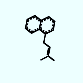 CC(C)=CCc1cccc2ccccc12